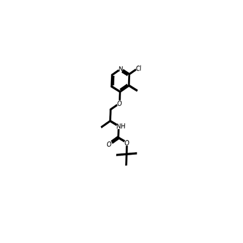 Cc1c(OCC(C)NC(=O)OC(C)(C)C)ccnc1Cl